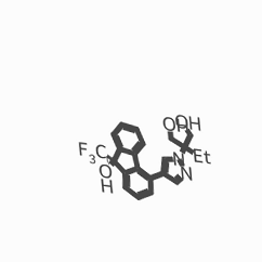 CCC(CO)(CO)n1cc(-c2cccc3c2-c2ccccc2[C@]3(O)C(F)(F)F)cn1